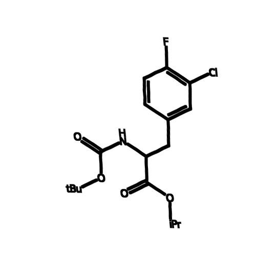 CC(C)OC(=O)C(Cc1ccc(F)c(Cl)c1)NC(=O)OC(C)(C)C